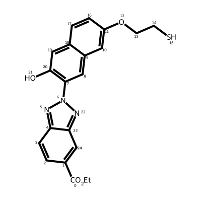 CCOC(=O)c1ccc2nn(-c3cc4cc(OCCS)ccc4cc3O)nc2c1